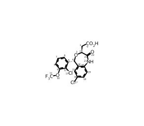 O=C(O)C[C@@H]1O[C@@H](c2cccc(OC(F)(F)F)c2Cl)c2cc(Cl)ccc2NC1=O